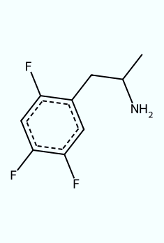 CC(N)Cc1cc(F)c(F)cc1F